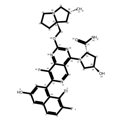 CCc1c(F)ccc2cc(O)cc(-c3ncc4c(N5C[C@H](O)C[C@H]5C(N)=O)nc(OC[C@@]56CCCN5C[C@H](C)C6)nc4c3F)c12